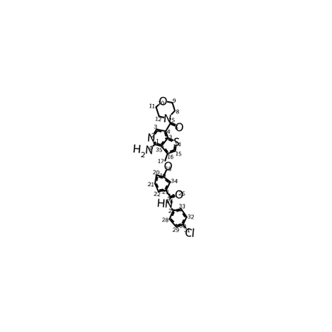 Nc1ncc(C(=O)N2CCOCC2)c2scc(COc3cccc(C(=O)Nc4ccc(Cl)cc4)c3)c12